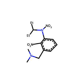 CCC(CC)N(c1cccc(CN(C)C)c1[N+](=O)[O-])[N+](=O)[O-]